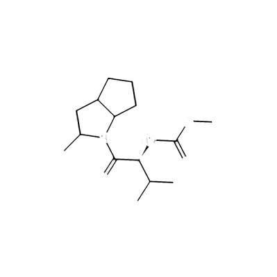 COC(=O)N[C@H](C(=O)N1C(C)CC2CCCC21)C(C)C